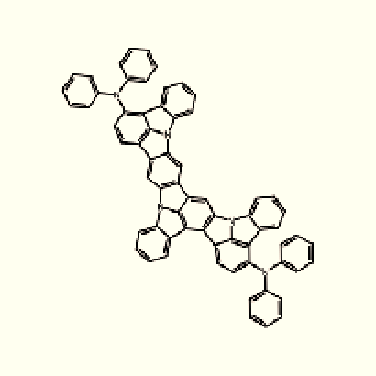 c1ccc(N(c2ccccc2)c2ccc3c4cc5c(cc4n4c6ccccc6c2c34)c2cc3c(c4ccc(N(c6ccccc6)c6ccccc6)c6c7ccccc7n3c46)c3c4ccccc4n5c23)cc1